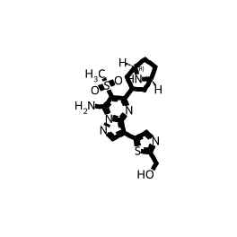 CS(=O)(=O)c1c(C2C[C@H]3CC[C@@H](C2)N3)nc2c(-c3cnc(CO)s3)cnn2c1N